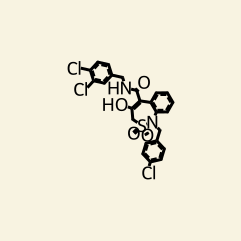 O=C(NCc1ccc(Cl)c(Cl)c1)C1=C(O)CS(=O)(=O)N(Cc2ccc(Cl)cc2)c2ccccc21